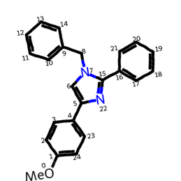 COc1ccc(-c2cn(Cc3ccccc3)c(-c3ccccc3)n2)cc1